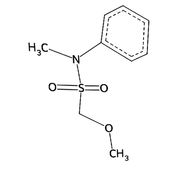 COCS(=O)(=O)N(C)c1ccccc1